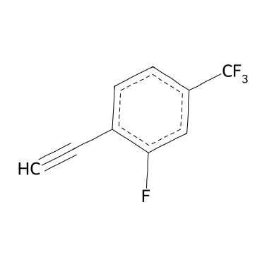 C#Cc1ccc(C(F)(F)F)cc1F